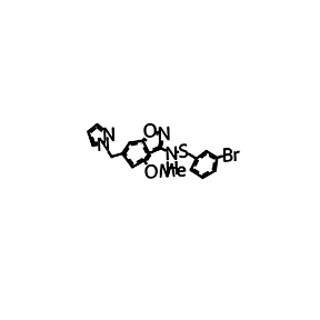 COc1cc(Cn2cccn2)cc2onc(NSc3cccc(Br)c3)c12